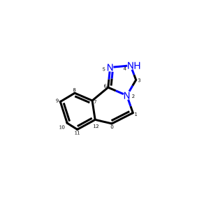 C1=CN2CNN=C2c2ccccc21